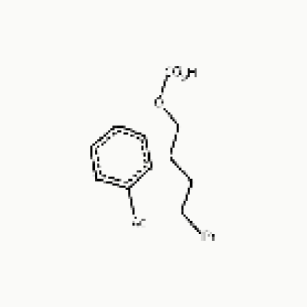 CC(=O)c1ccccc1.CC(C)CCCCOC(=O)O